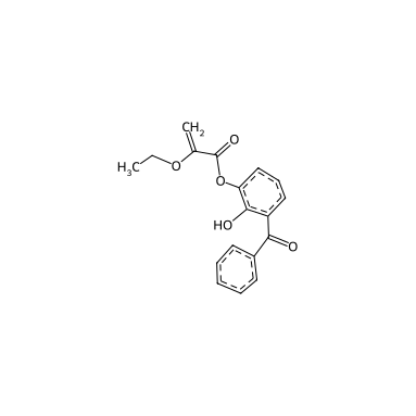 C=C(OCC)C(=O)Oc1cccc(C(=O)c2ccccc2)c1O